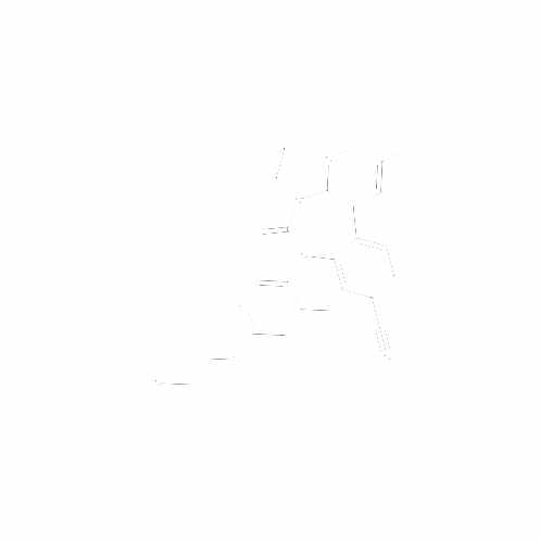 CCCN1C(=O)N(c2c(F)cc(NCCNC)cc2F)c2cc(C#N)ccc2-c2cc(Cl)cnc21